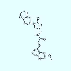 COc1cnc2cccc(/C=C/C(=O)NC[C@@H]3CN(c4ccc5c(c4)OCCO5)C(=O)O3)c2n1